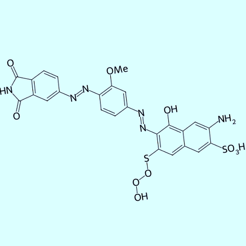 COc1cc(N=Nc2c(SOOO)cc3cc(S(=O)(=O)O)c(N)cc3c2O)ccc1N=Nc1ccc2c(c1)C(=O)NC2=O